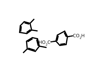 Cc1cccc(C)c1.Cc1ccccc1C.O=C(O)c1ccc(C(=O)O)cc1